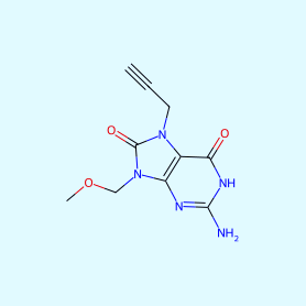 C#CCn1c(=O)n(COC)c2nc(N)[nH]c(=O)c21